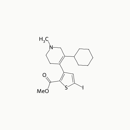 COC(=O)c1sc(I)cc1C1=C(C2CCCCC2)CN(C)CC1